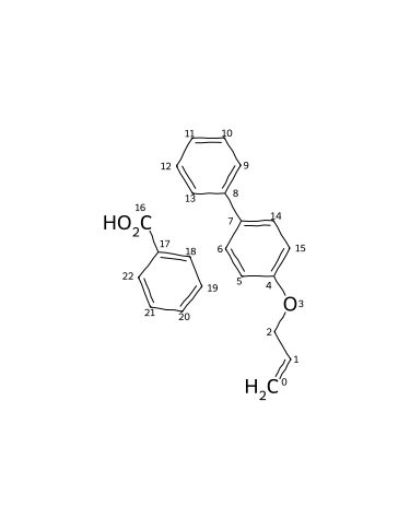 C=CCOc1ccc(-c2ccccc2)cc1.O=C(O)c1ccccc1